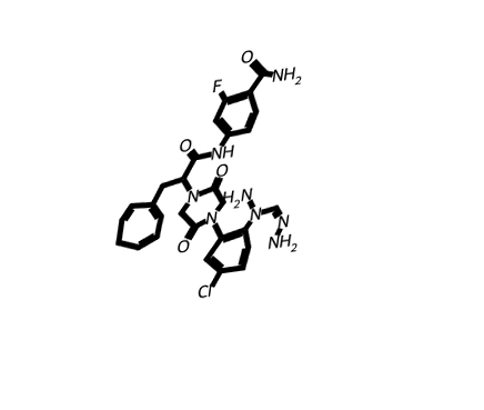 N/N=C\N(N)c1ccc(Cl)cc1N1CC(=O)N(C(CC2=CC=CCC=C2)C(=O)Nc2ccc(C(N)=O)c(F)c2)CC1=O